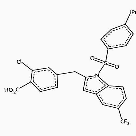 CC(C)c1ccc(S(=O)(=O)n2c(Cc3ccc(C(=O)O)c(Cl)c3)cc3cc(C(F)(F)F)ccc32)cc1